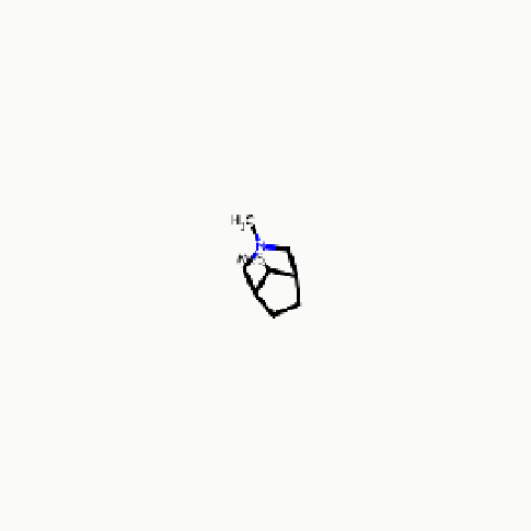 CSC1C2CCC1CN(C)C2